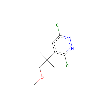 COCC(C)(C)c1cc(Cl)nnc1Cl